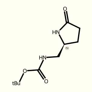 CC(C)(C)OC(=O)NC[C@@H]1CCC(=O)N1